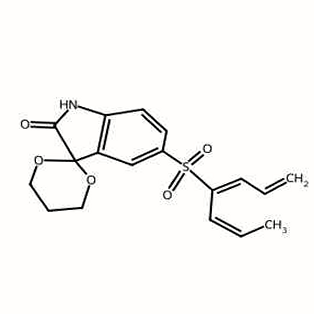 C=C/C=C(\C=C/C)S(=O)(=O)c1ccc2c(c1)C1(OCCCO1)C(=O)N2